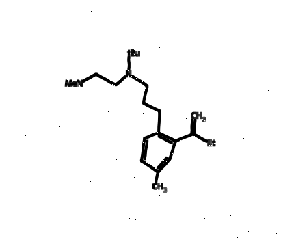 C=C(CC)c1cc(C)ccc1CCCN(CCNC)C(C)(C)C